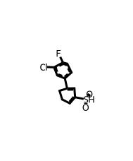 O=[SH](=O)C1=CCCC(c2ccc(F)c(Cl)c2)=C1